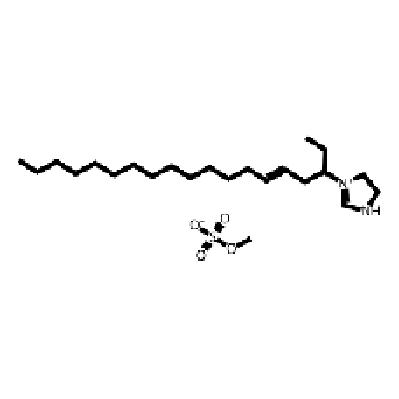 CCCCCCCCCCCCCC=CCC(CC)[N+]1=CNCC1.COS(=O)(=O)[O-]